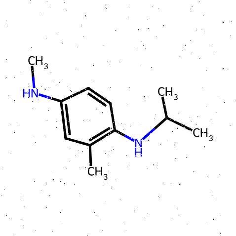 CNc1ccc(NC(C)C)c(C)c1